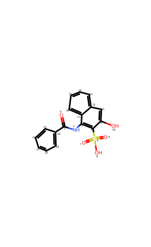 O=C(Nc1c(S(=O)(=O)O)c(O)cc2ccccc12)c1ccccc1